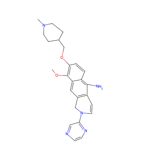 COc1c(OCC2CCN(C)CC2)ccc2c(N)c3c(cc12)CN(c1cnccn1)C=C3